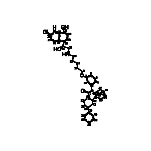 O=C(Cc1cccc(OCCCCCNCC(O)c2ccc(O)c3[nH]c(=O)ccc23)c1)N1CCC(c2ccccc2)CC1C1CN2CCC1CC2